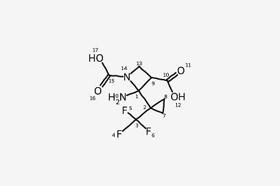 NC1(C2(C(F)(F)F)CC2)C(C(=O)O)CN1C(=O)O